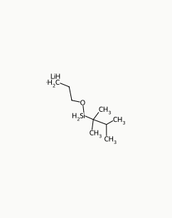 [CH2]CCO[SiH2]C(C)(C)C(C)C.[LiH]